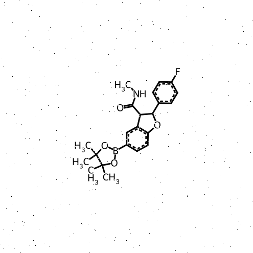 CNC(=O)C1c2cc(B3OC(C)(C)C(C)(C)O3)ccc2OC1c1ccc(F)cc1